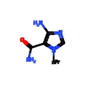 CCCn1cnc(N)c1C(N)=O